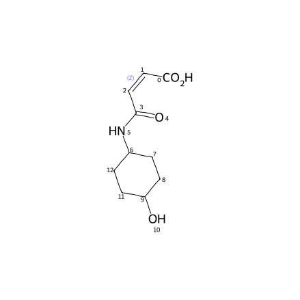 O=C(O)/C=C\C(=O)NC1CCC(O)CC1